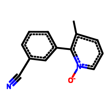 Cc1ccc[n+]([O-])c1-c1cccc(C#N)c1